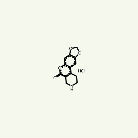 Cl.O=c1oc2cc3c(cc2c2c1CNCC2)OCO3